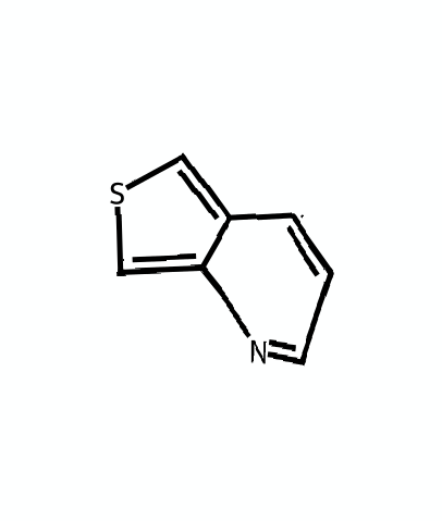 [c]1ccnc2cscc12